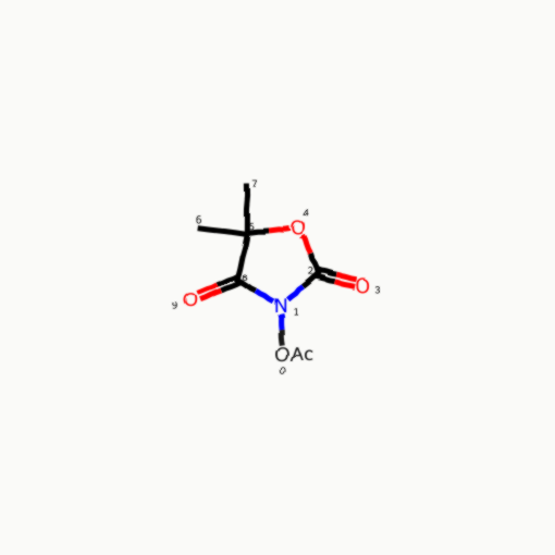 CC(=O)ON1C(=O)OC(C)(C)C1=O